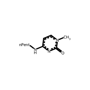 CCCCCNc1ccn(C)c(=O)n1